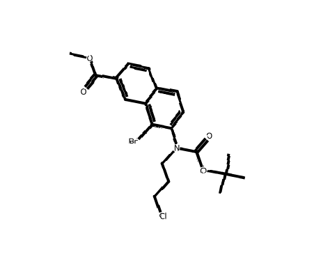 COC(=O)c1ccc2ccc(N(CCCCl)C(=O)OC(C)(C)C)c(Br)c2c1